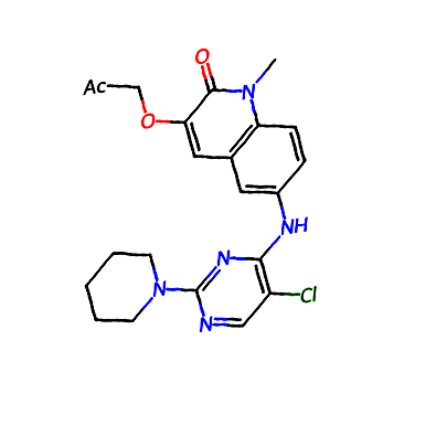 CC(=O)COc1cc2cc(Nc3nc(N4CCCCC4)ncc3Cl)ccc2n(C)c1=O